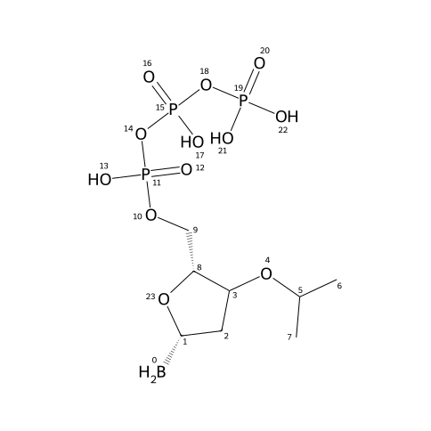 B[C@H]1CC(OC(C)C)[C@@H](COP(=O)(O)OP(=O)(O)OP(=O)(O)O)O1